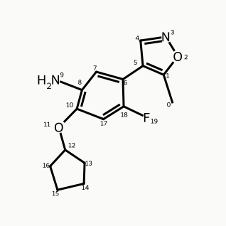 Cc1oncc1-c1cc(N)c(OC2CCCC2)cc1F